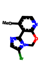 COc1ccnc2c1-c1ncc(Br)n1CO2